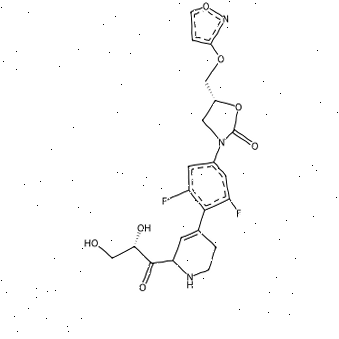 O=C(C1C=C(c2c(F)cc(N3C[C@H](COc4ccon4)OC3=O)cc2F)CCN1)[C@@H](O)CO